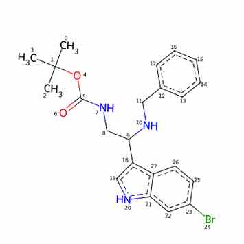 CC(C)(C)OC(=O)NCC(NCc1ccccc1)c1c[nH]c2cc(Br)ccc12